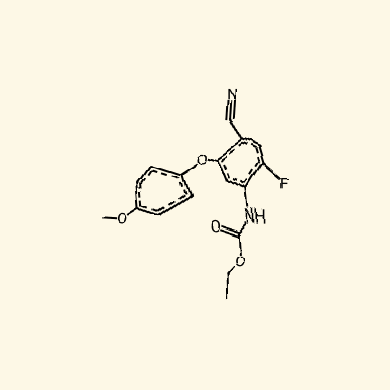 CCOC(=O)Nc1cc(Oc2ccc(OC)cc2)c(C#N)cc1F